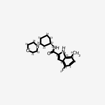 Cc1ccc(F)c2cc(C(=O)N[C@@H]3CCC[C@@H](N4CCOCC4)C3)[nH]c12